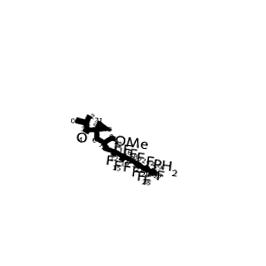 C=C(C)C(=O)C1(CC(COC)CC(F)(F)C(F)(F)C(F)(F)C(F)(F)C(F)(F)C(F)(F)P)CC1